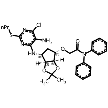 CCCSc1nc(Cl)c(N)c(N[C@@H]2C[C@H](OCC(=O)N(c3ccccc3)c3ccccc3)[C@H]3OC(C)(C)O[C@H]32)n1